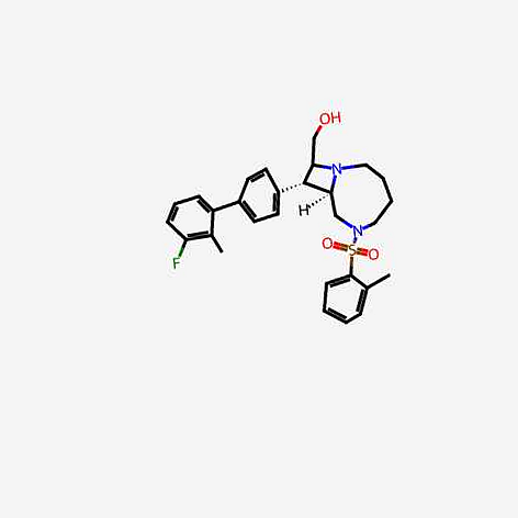 Cc1ccccc1S(=O)(=O)N1CCCCN2C(CO)[C@@H](c3ccc(-c4cccc(F)c4C)cc3)[C@@H]2C1